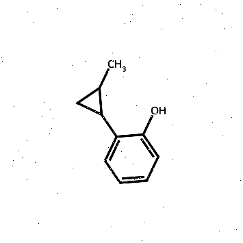 CC1CC1c1ccccc1O